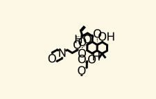 C=C[C@@]1(C)CC(=O)[C@]2(O)[C@@]3(C)[C@@H](O)CCC(C)(C)[C@@H]3[C@H](OC(=O)COC)[C@H](OC(=O)CCN3CCOCC3)[C@@]2(C)O1